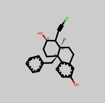 Oc1ccc2c(c1)CC[C@@H]1C(C#CCl)[C@H](O)CC[C@@]21Cc1ccccc1